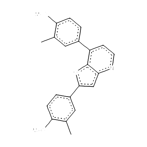 COc1ccc(-c2cc3nccc(-c4ccc(OC)c(C)c4)c3o2)cc1C